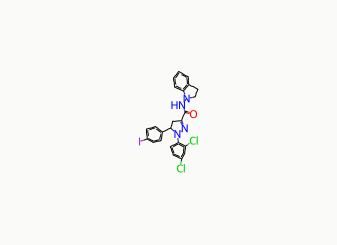 O=C(NN1CCc2ccccc21)C1=NN(c2ccc(Cl)cc2Cl)C(c2ccc(I)cc2)C1